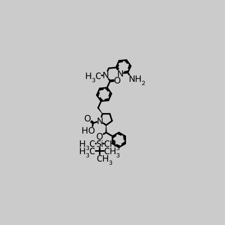 CN(Cc1cccc(N)n1)C(=O)c1ccc(C[C@H]2CC[C@@H](C(O[Si](C)(C)C(C)(C)C)c3ccccc3)N2C(=O)O)cc1